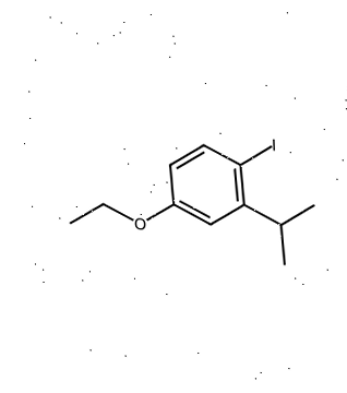 CCOc1ccc(I)c(C(C)C)c1